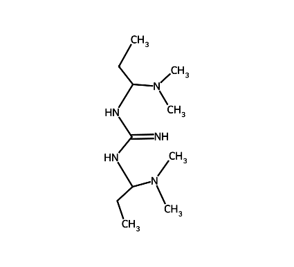 CCC(NC(=N)NC(CC)N(C)C)N(C)C